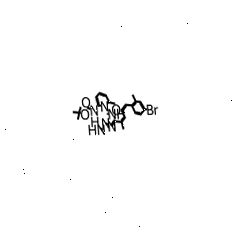 CNC(=N\N=N)/C(C)=C\C(=C/c1ccc(Br)cc1C)OCc1cccc(NC(=O)OC(C)(C)C)n1